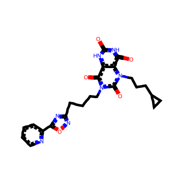 O=c1[nH]c(=O)c2c([nH]1)c(=O)n(CCCCc1noc(-c3ccccn3)n1)c(=O)n2CCCC1CC1